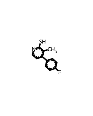 Cc1c(-c2ccc(F)cc2)ccnc1S